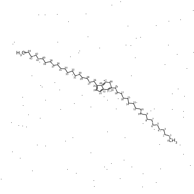 CCCCCCCCCCCCCCCCCCCCC1=CC2=CC=C(CCCCCCCCCCCCCCCCCCCC)C2=CC1